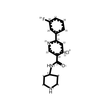 Cl.O=C(NC1CCNCC1)c1ccc(-c2cccc(F)c2)nc1